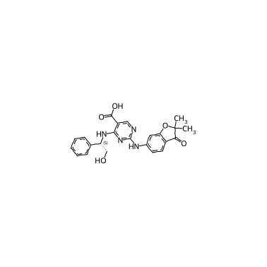 CC1(C)Oc2cc(Nc3ncc(C(=O)O)c(N[C@H](CO)c4ccccc4)n3)ccc2C1=O